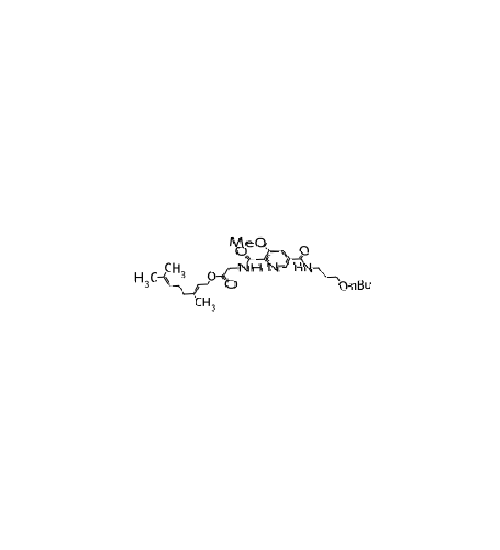 CCCCOCCCNC(=O)c1cnc(C(=O)NCC(=O)OC/C=C(\C)CCC=C(C)C)c(OC)c1